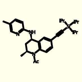 CC(=O)N1c2ccc(C#C[Si](C(C)C)(C(C)C)C(C)C)cc2[C@H](Nc2ccc(C)cn2)C[C@@H]1C